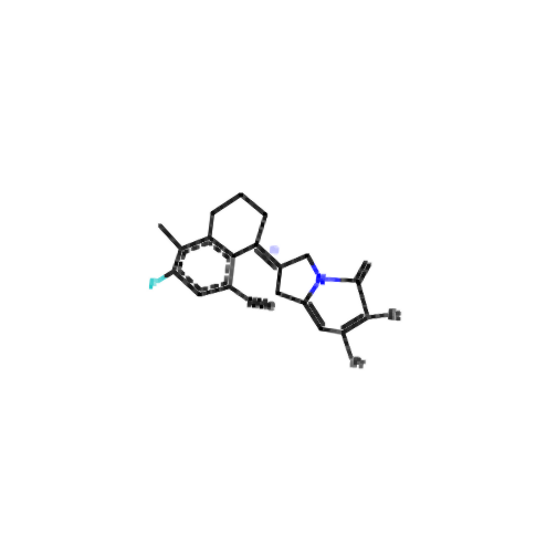 C=C1C(CC)=C(C(C)C)C=C2C/C(=C3/CCCc4c(C)c(F)cc(NC)c43)CN12